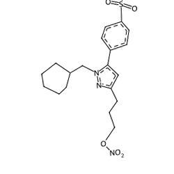 CS(=O)(=O)c1ccc(-c2cc(CCCO[N+](=O)[O-])nn2CC2CCCCC2)cc1